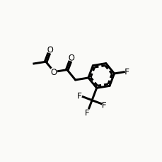 CC(=O)OC(=O)Cc1ccc(F)cc1C(F)(F)F